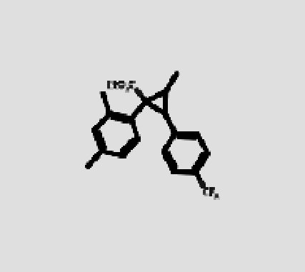 CCOC(=O)C1(c2ccc(C)cc2C)C(C)C1c1ccc(C(F)(F)F)cc1